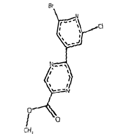 COC(=O)c1cnc(-c2cc(Cl)nc(Br)c2)cn1